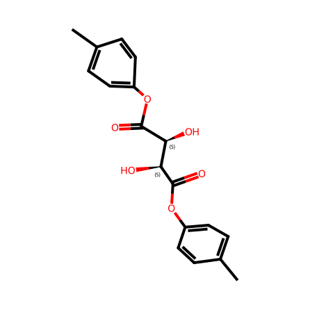 Cc1ccc(OC(=O)[C@@H](O)[C@H](O)C(=O)Oc2ccc(C)cc2)cc1